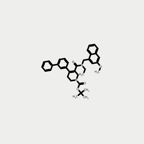 CCN(Cc1cc(OC)cc2ccccc12)C(=O)C1=C(c2cccc(-c3ccccc3)c2)CCN(C(=O)OC(C)(C)C)C1